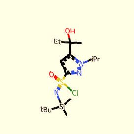 CCC(C)(O)c1cc(S(=O)(Cl)=N[Si](C)(C)C(C)(C)C)nn1C(C)C